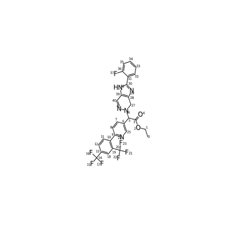 CCOC(=O)C(c1ccc(-c2ccc(C(F)(F)F)cc2C(F)(F)F)nc1)N1Cc2nc(-c3ccccc3F)[nH]c2C=N1